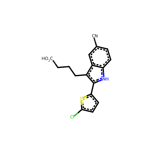 N#Cc1ccc2[nH]c(-c3ccc(Cl)s3)c(CCCC(=O)O)c2c1